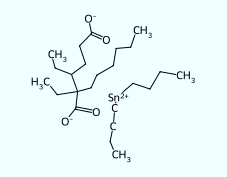 CCCCCCC(CC)(C(=O)[O-])C(CC)CCC(=O)[O-].CCC[CH2][Sn+2][CH2]CCC